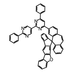 C1=Cc2ccc(-c3cc(-c4ccccc4)nc(-c4cnc(-c5ccccc5)nc4)n3)cc2C2(c3ccccc31)c1ccccc1-c1cc3c(cc12)oc1ccccc13